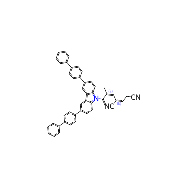 C=C(/C(C)=C\C(C#N)=C/CC#N)n1c2ccc(-c3ccc(-c4ccccc4)cc3)cc2c2cc(-c3ccc(-c4ccccc4)cc3)ccc21